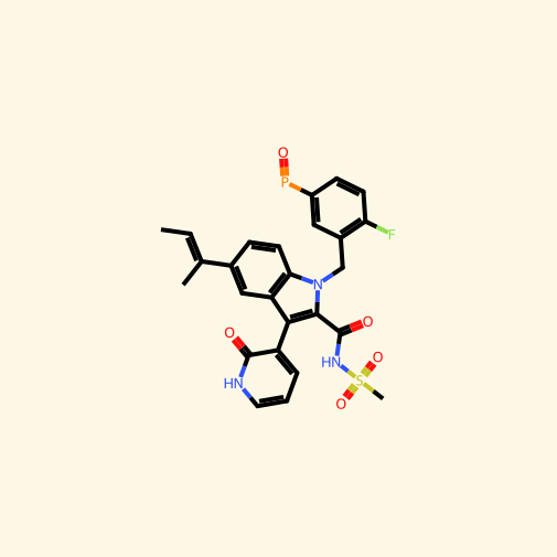 C/C=C(\C)c1ccc2c(c1)c(-c1ccc[nH]c1=O)c(C(=O)NS(C)(=O)=O)n2Cc1cc(P=O)ccc1F